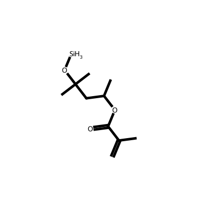 C=C(C)C(=O)OC(C)CC(C)(C)O[SiH3]